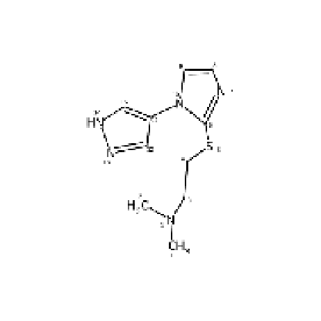 CN(C)CCSc1nccn1-c1cn[nH]c1